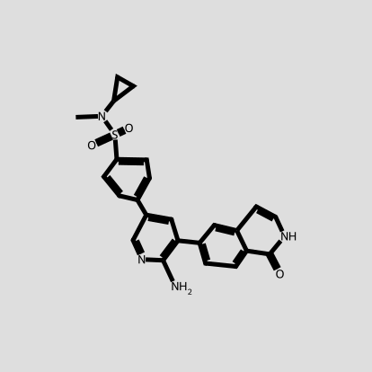 CN(C1CC1)S(=O)(=O)c1ccc(-c2cnc(N)c(-c3ccc4c(=O)[nH]ccc4c3)c2)cc1